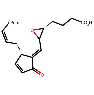 CCCCC/C=C\C[C@H]1C=CC(=O)/C1=C/C1O[C@@H]1CCCC(=O)O